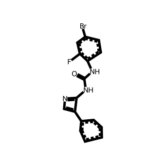 O=C(NC1=NC=C1c1ccccc1)Nc1ccc(Br)cc1F